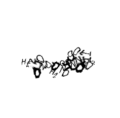 CC(C)C(NC(Cc1ccc2c(c1)OCO2)(C(N)=O)C(=O)COc1ccc(OCN(C(N)=O)c2ccccc2F)cc1)[C@H](N)C(=O)O